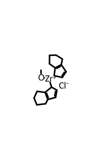 C[O][Zr+]([CH]1C=CC2=C1CCCC2)[CH]1C=CC2=C1CCCC2.[Cl-]